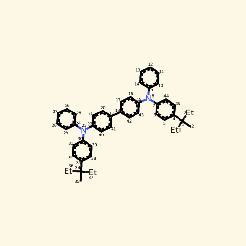 CCC(C)(CC)c1ccc(N(c2ccccc2)c2ccc(-c3ccc(N(c4ccccc4)c4ccc(C(C)(CC)CC)cc4)cc3)cc2)cc1